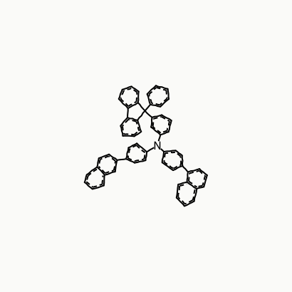 c1ccc(C2(c3cccc(N(c4ccc(-c5ccc6ccccc6c5)cc4)c4ccc(-c5cccc6ccccc56)cc4)c3)c3ccccc3-c3ccccc32)cc1